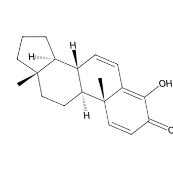 C[C@@]12CCC[C@H]1[C@@H]1C=CC3=C(O)C(=O)C=C[C@]3(C)[C@H]1CC2